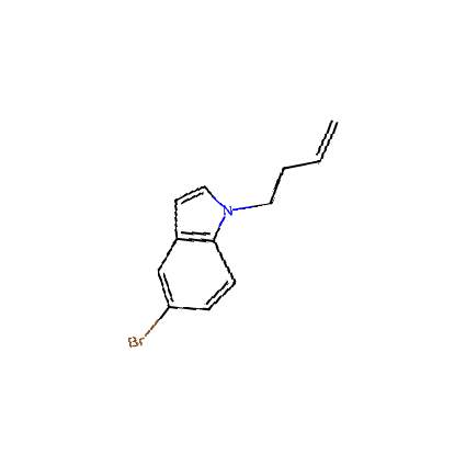 C=CCCn1ccc2cc(Br)ccc21